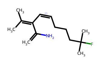 C=C(N)C(/C=C\CCCC(C)(C)F)=C(C)C